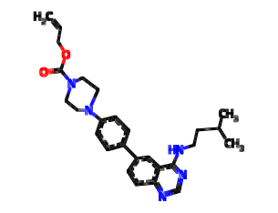 C=CCOC(=O)N1CCN(c2ccc(-c3ccc4ncnc(NCCC(C)C)c4c3)cc2)CC1